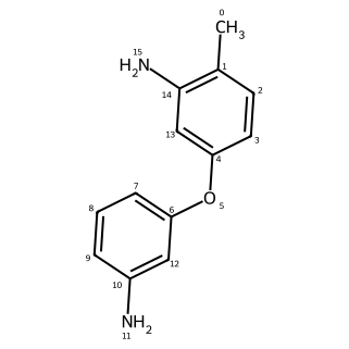 Cc1ccc(Oc2cccc(N)c2)cc1N